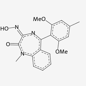 COc1cc(C)cc(OC)c1-c1n/c(=N/O)c(=O)n(C)c2ccccc12